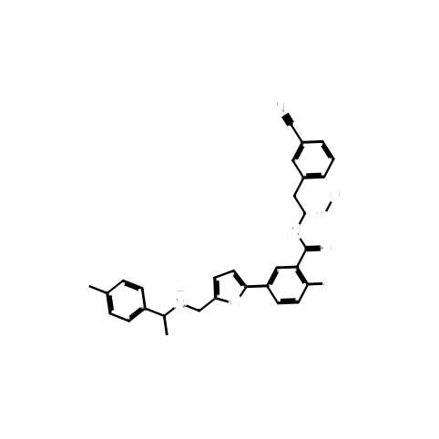 Cc1ccc(C(C)NCc2ccc(-c3ccc(Cl)c(C(=O)N[C@@H](CO)Cc4cccc(C#N)c4)c3)o2)cc1